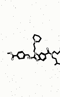 COC(=O)c1ccc(CNc2nc3ccc(C(=O)N(CCC(C)C)CCC(C)C)cc3n2CCCN2CCCCC2)cc1